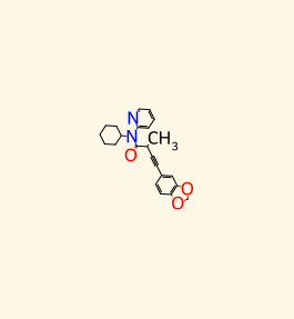 CC(C#Cc1ccc2c(c1)OCO2)C(=O)N(c1ccccn1)C1CCCCC1